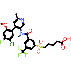 COc1cc(F)c(Cl)cc1-c1cc(C)ncc1N(C)C(=O)c1cc(C(F)(F)F)cc(S(=O)(=O)CCCCC(=O)O)c1